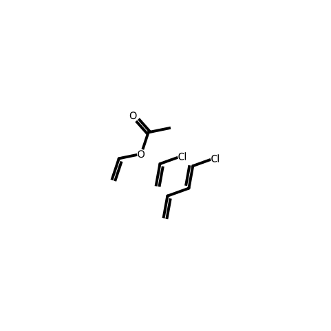 C=CC=CCl.C=CCl.C=COC(C)=O